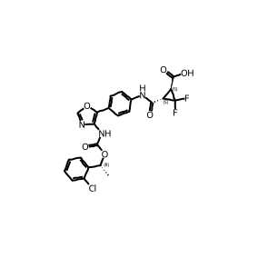 C[C@@H](OC(=O)Nc1ncoc1-c1ccc(NC(=O)[C@@H]2[C@@H](C(=O)O)C2(F)F)cc1)c1ccccc1Cl